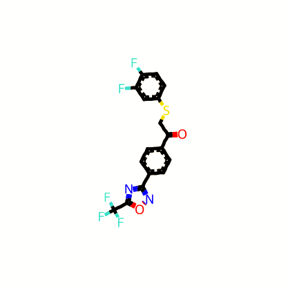 O=C(CSc1ccc(F)c(F)c1)c1ccc(-c2noc(C(F)(F)F)n2)cc1